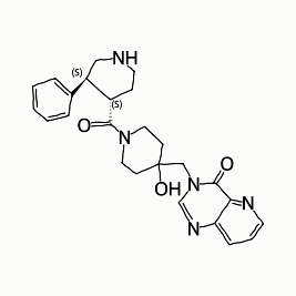 O=C([C@H]1CCNC[C@@H]1c1ccccc1)N1CCC(O)(Cn2cnc3cccnc3c2=O)CC1